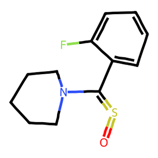 O=S=C(c1ccccc1F)N1CCCCC1